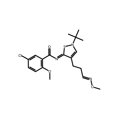 CON=CCCc1cn(C(C)(C)C)sc1=NC(=O)c1cc(Cl)ccc1OC